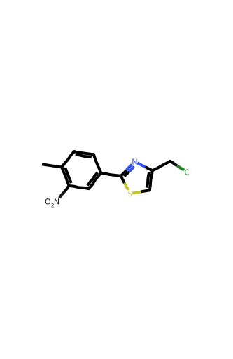 Cc1ccc(-c2nc(CCl)cs2)cc1[N+](=O)[O-]